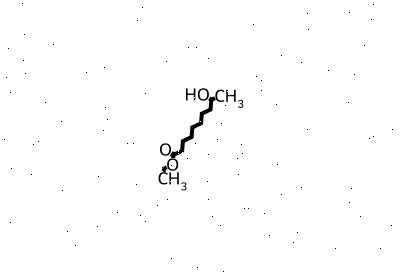 CCOC(=O)CCCCCCCC(C)O